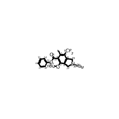 CCCCOc1c2c(c(C(F)(F)F)c(C)c1C(=O)Oc1ccccc1)CN([C@H](C)CC)C2